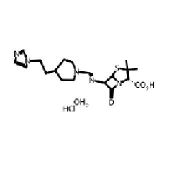 CC1(C)SC2C(N=CN3CCC(CCn4ccnc4)CC3)C(=O)N2[C@H]1C(=O)O.Cl.O